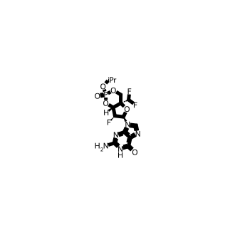 CC(C)OP1(=O)OC[C@@]2(C(F)F)O[C@@H](n3cnc4c(=O)[nH]c(N)nc43)[C@H](F)[C@@H]2O1